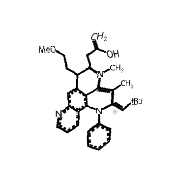 C=C(O)CC1C(CCOC)c2cc3ncccc3c3c2C(=C(C)/C(=C\C(C)(C)C)N3c2ccccc2)N1C